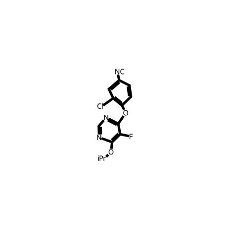 [C-]#[N+]c1ccc(Oc2ncnc(OC(C)C)c2F)c(Cl)c1